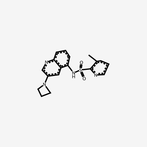 Cc1cccnc1S(=O)(=O)Nc1cccc2ncc(N3CCC3)cc12